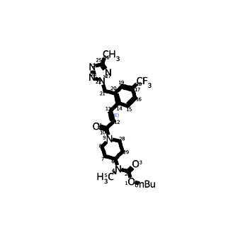 CCCCOC(=O)N(C)C1CCN(C(=O)/C=C/c2ccc(C(F)(F)F)cc2Cn2nnc(C)n2)CC1